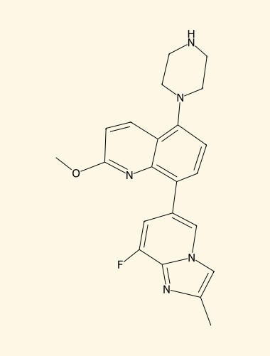 COc1ccc2c(N3CCNCC3)ccc(-c3cc(F)c4nc(C)cn4c3)c2n1